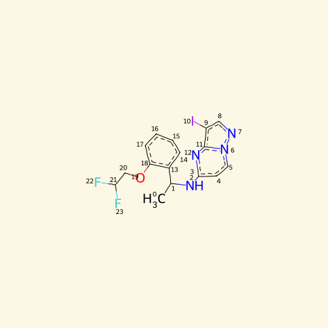 CC(Nc1ccn2ncc(I)c2n1)c1ccccc1OCC(F)F